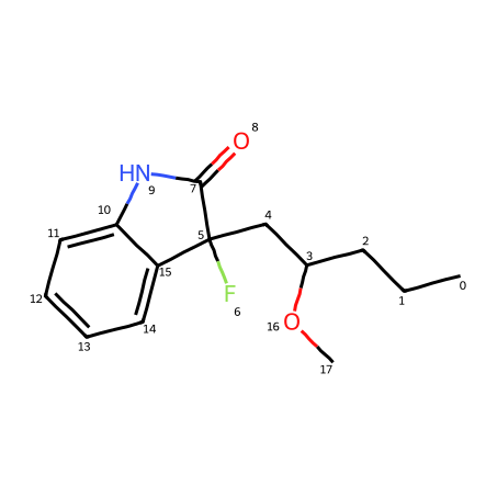 CCCC(CC1(F)C(=O)Nc2ccccc21)OC